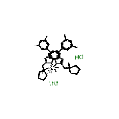 Cc1cc(C)cc(-c2cccc3c2C=C(CC2(C)CCCC2)[CH]3[Zr]([CH3])([CH3])(=[SiH2])[CH]2C(CC3(C)CCCC3)=Cc3c(-c4cc(C)cc(C)c4)cccc32)c1.Cl.Cl